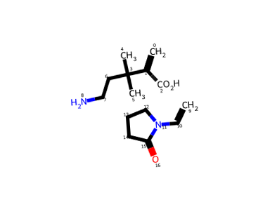 C=C(C(=O)O)C(C)(C)CCN.C=CN1CCCC1=O